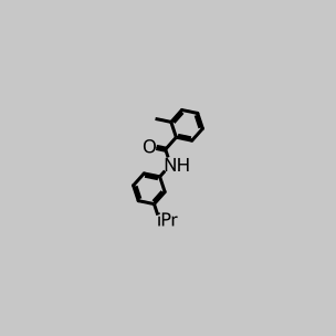 Cc1ccccc1C(=O)Nc1cccc(C(C)C)c1